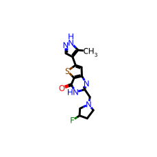 Cc1[nH]ncc1-c1cc2nc(CN3CCC(F)C3)[nH]c(=O)c2s1